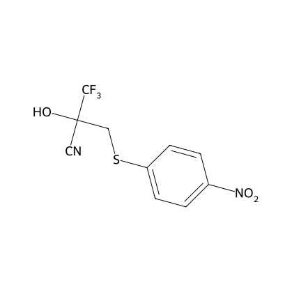 N#CC(O)(CSc1ccc([N+](=O)[O-])cc1)C(F)(F)F